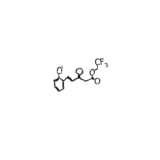 O=C(C=Cc1ccccc1Cl)CC(=O)OCC(F)(F)F